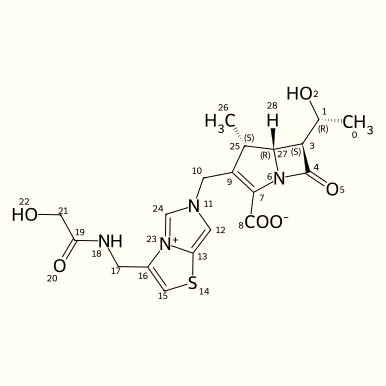 C[C@@H](O)[C@H]1C(=O)N2C(C(=O)[O-])=C(Cn3cc4scc(CNC(=O)CO)[n+]4c3)[C@H](C)[C@H]12